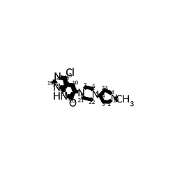 CN1CCC(N2CCN(c3cc4c(Cl)ncnc4[nH]c3=O)CC2)CC1